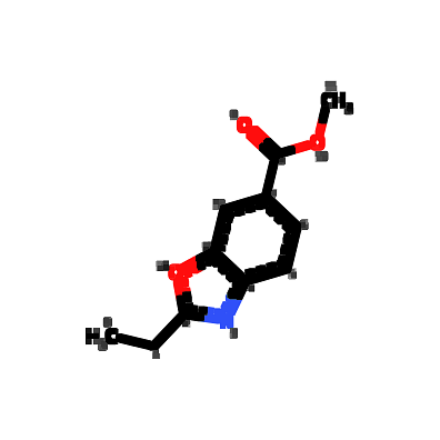 CCc1nc2ccc(C(=O)OC)cc2o1